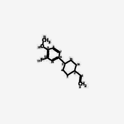 C=CC1CCC(c2ccc(OC)c(F)c2)CC1